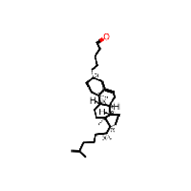 CC(C)CCC[C@@H](C)[C@H]1CC[C@H]2[C@@H]3CC=C4C[C@@H](CCCCC=O)CC[C@]4(C)[C@H]3CC[C@]12C